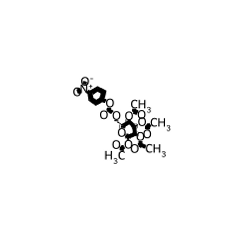 CC(=O)O[C@H]1O[C@H](COC(=O)Oc2ccc([N+](=O)[O-])cc2)[C@@H](OC(C)=O)[C@H](OC(C)=O)[C@H]1OC(C)=O